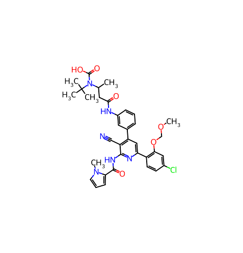 COCOc1cc(Cl)ccc1-c1cc(-c2cccc(NC(=O)CC(C)N(C(=O)O)C(C)(C)C)c2)c(C#N)c(NC(=O)c2cccn2C)n1